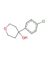 OC1(c2ccc(Cl)cc2)CCOCC1